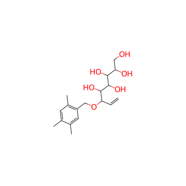 C=CC(OCc1cc(C)c(C)cc1C)C(O)C(O)C(O)C(O)CO